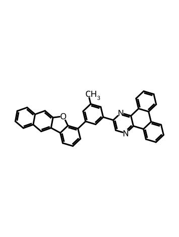 Cc1cc(-c2cnc3c4ccccc4c4ccccc4c3n2)cc(-c2cccc3c2oc2cc4ccccc4cc23)c1